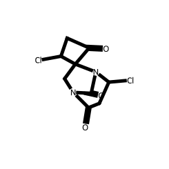 O=C1CC(Cl)N2C(=O)N1CC21C(=O)CC1Cl